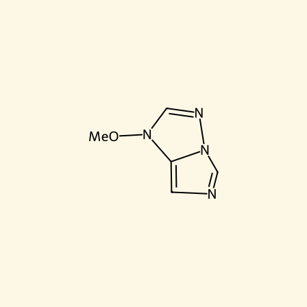 COn1cnn2cncc12